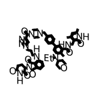 CCN(c1cc(-c2ccc(CN3CCN(C(=O)c4cn(CCCNc5cccc6c5C(=O)N(C5CCC(=O)NC5=O)C6=O)nn4)CC3)cc2)cc(C(=O)NCc2c(C)cc(C)[nH]c2=O)c1C)C1CCOCC1